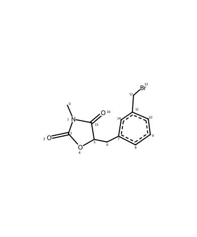 CN1C(=O)OC(Cc2cccc(CBr)c2)C1=O